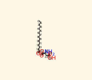 CCCCCCCCCCCCCCCC(=O)OC(=O)[C@@H](N)CC(=O)O